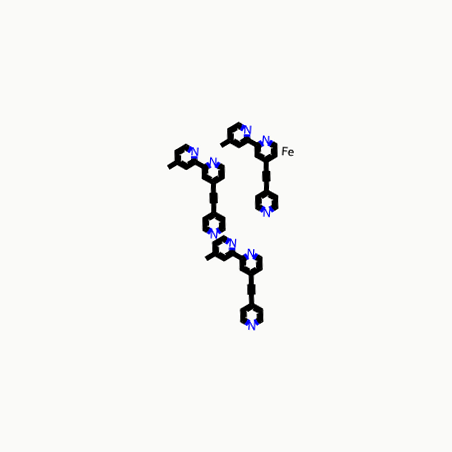 Cc1ccnc(-c2cc(C#Cc3ccncc3)ccn2)c1.Cc1ccnc(-c2cc(C#Cc3ccncc3)ccn2)c1.Cc1ccnc(-c2cc(C#Cc3ccncc3)ccn2)c1.[Fe]